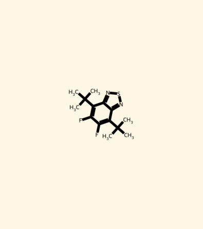 CC(C)(C)c1c(F)c(F)c(C(C)(C)C)c2nsnc12